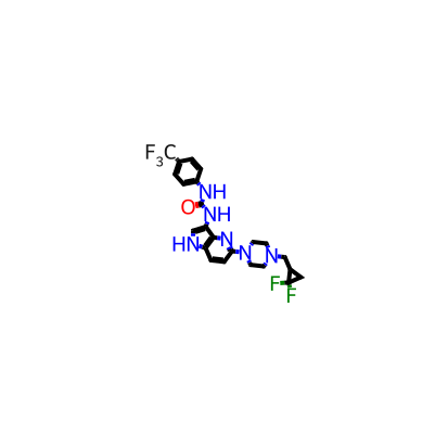 O=C(Nc1ccc(C(F)(F)F)cc1)Nc1c[nH]c2ccc(N3CCN(CC4CC4(F)F)CC3)nc12